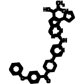 CN(C)C(O)c1cc2cnc(Nc3ccc(N4CCN(C(=O)c5ccc(Oc6ccccc6)cc5)CC4)cn3)nc2n1C1CCCC1